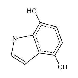 Oc1ccc(O)c2c1C=C[N]2